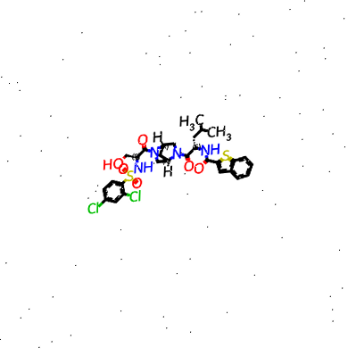 CC(C)C[C@H](NC(=O)c1cc2ccccc2s1)C(=O)N1C[C@H]2C[C@@H]1CN2C(=O)[C@H](CO)NS(=O)(=O)c1ccc(Cl)cc1Cl